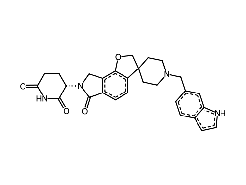 O=C1CC[C@H](N2Cc3c(ccc4c3OCC43CCN(Cc4ccc5cc[nH]c5c4)CC3)C2=O)C(=O)N1